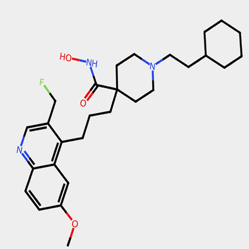 COc1ccc2ncc(CF)c(CCCC3(C(=O)NO)CCN(CCC4CCCCC4)CC3)c2c1